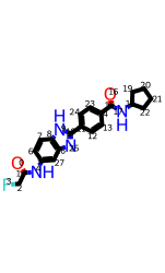 O=C(CF)Nc1ccc2[nH]c(-c3ccc(C(=O)NC4CCCC4)cc3)nc2c1